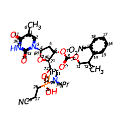 Cc1cn([C@H]2C[C@H](OC(=O)OCC(C)c3ccccc3[N+](=O)[O-])[C@@H](CO[PH](O)(CCC#N)N(C(C)C)C(C)C)O2)c(=O)[nH]c1=O